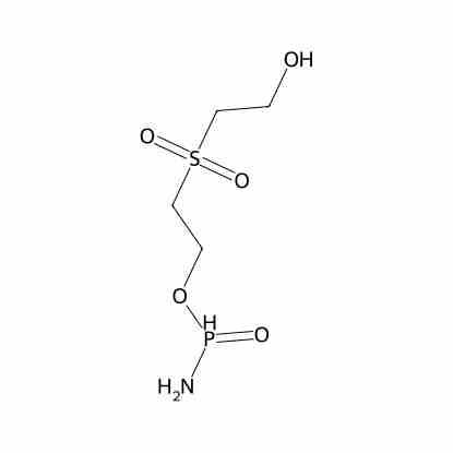 N[PH](=O)OCCS(=O)(=O)CCO